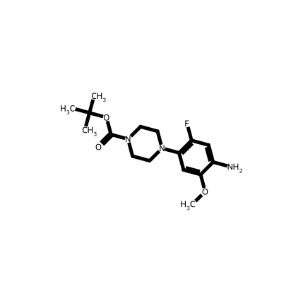 COc1cc(N2CCN(C(=O)OC(C)(C)C)CC2)c(F)cc1N